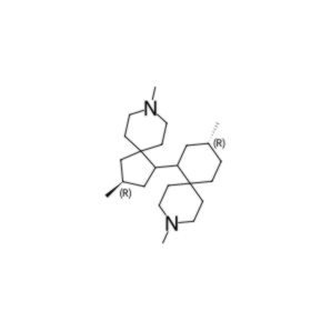 C[C@@H]1CCC2(CCN(C)CC2)C(C2C[C@@H](C)CC23CCN(C)CC3)C1